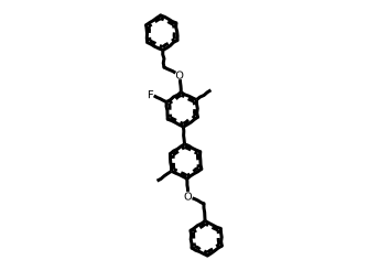 Cc1cc(-c2cc(C)c(OCc3ccccc3)c(F)c2)ccc1OCc1ccccc1